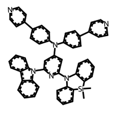 C[Si]1(C)c2ccccc2N(c2cc(N(c3ccc(-c4ccncc4)cc3)c3ccc(-c4ccncc4)cc3)cc(-n3c4ccccc4c4ccccc43)n2)c2ccccc21